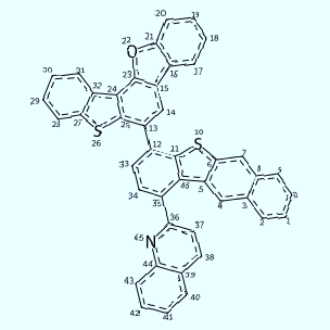 c1ccc2cc3c(cc2c1)sc1c(-c2cc4c5ccccc5oc4c4c2sc2ccccc24)ccc(-c2ccc4ccccc4n2)c13